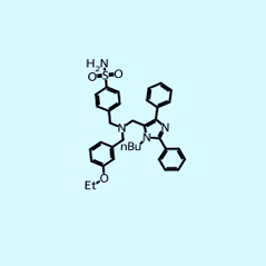 CCCCn1c(-c2ccccc2)nc(-c2ccccc2)c1CN(Cc1ccc(S(N)(=O)=O)cc1)Cc1cccc(OCC)c1